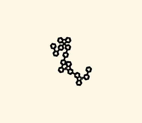 c1ccc(-c2cccc(-n3c4ccccc4c4cc(-c5ccc6c(c5)c5ccccc5n6-c5ccccc5-c5ccc(-c6ccc(-c7cccc(C8(c9ccc(-c%10ccccc%10-c%10ccccc%10)cc9)c9ccccc9-c9ccccc98)c7)cc6)cc5)ccc43)c2)cc1